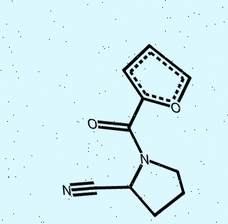 N#CC1CCCN1C(=O)c1ccco1